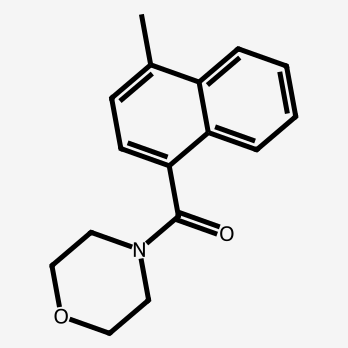 Cc1ccc(C(=O)N2CCOCC2)c2ccccc12